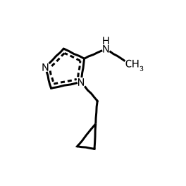 CNc1cncn1CC1CC1